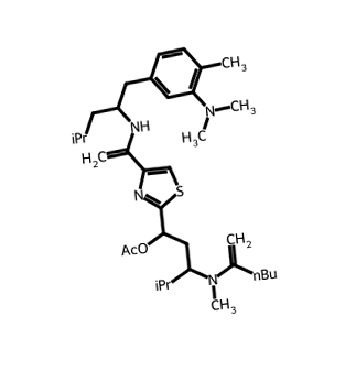 C=C(NC(Cc1ccc(C)c(N(C)C)c1)CC(C)C)c1csc(C(CC(C(C)C)N(C)C(=C)CCCC)OC(C)=O)n1